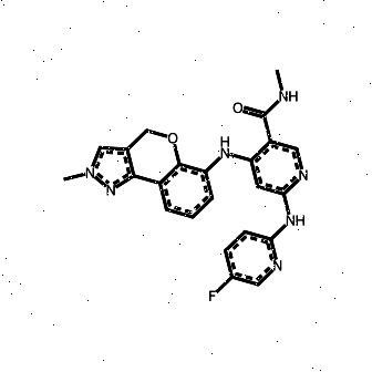 CNC(=O)c1cnc(Nc2ccc(F)cn2)cc1Nc1cccc2c1OCc1cn(C)nc1-2